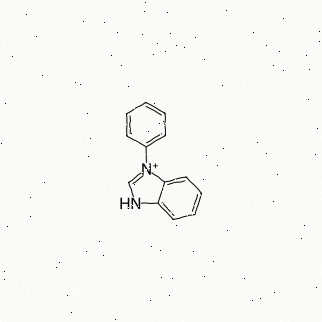 c1ccc(-[n+]2c[nH]c3ccccc32)cc1